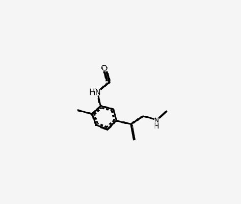 CNCC(C)c1ccc(C)c(NC=O)c1